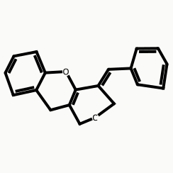 C(=C1CCCC2=C1Oc1ccccc1C2)c1ccccc1